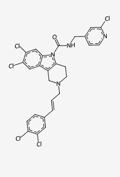 O=C(NCc1ccnc(Cl)c1)n1c2c(c3cc(Cl)c(Cl)cc31)CN(C/C=C/c1ccc(Cl)c(Cl)c1)CC2